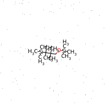 CC(C)(CO[Si](C)(C)C)C(C)(C)[Si](C)(C)C